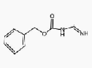 N=[C]NC(=O)OCc1ccccc1